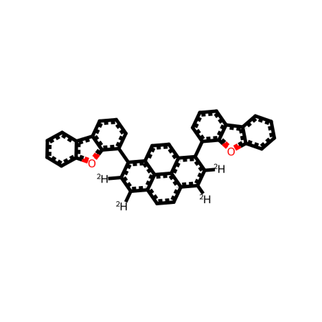 [2H]c1c([2H])c2ccc3c([2H])c([2H])c(-c4cccc5c4oc4ccccc45)c4ccc(c1-c1cccc5c1oc1ccccc15)c2c34